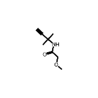 C#CC(C)(C)NC(=O)COC